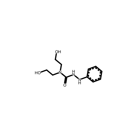 O=C(NNc1ccccc1)N(CCO)CCO